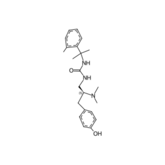 Cc1ccccc1C(C)(C)NC(=O)NC[C@H](Cc1ccc(O)cc1)N(C)C